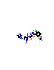 O=C(N[C@H]1CN[C@H](Cn2ccnn2)C1)c1nnc(-c2cc(OC(F)(F)F)ccc2Cl)o1